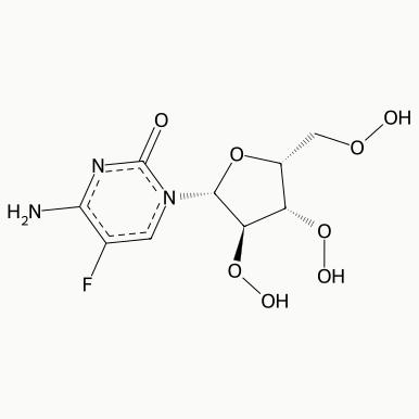 Nc1nc(=O)n([C@@H]2O[C@H](COO)[C@H](OO)[C@H]2OO)cc1F